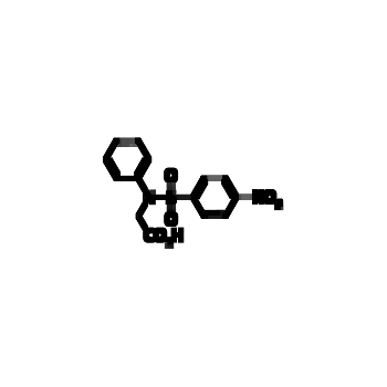 O=C(O)CN(c1ccccc1)S(=O)(=O)c1ccc([N+](=O)[O-])cc1